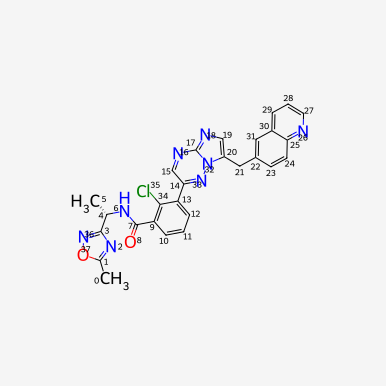 Cc1nc([C@H](C)NC(=O)c2cccc(-c3cnc4ncc(Cc5ccc6ncccc6c5)n4n3)c2Cl)no1